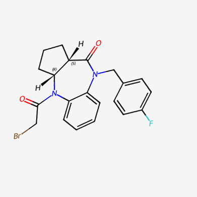 O=C1[C@H]2CCC[C@H]2N(C(=O)CBr)c2ccccc2N1Cc1ccc(F)cc1